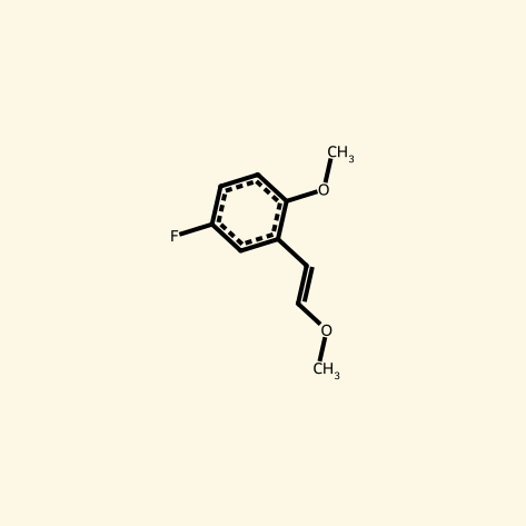 COC=Cc1cc(F)ccc1OC